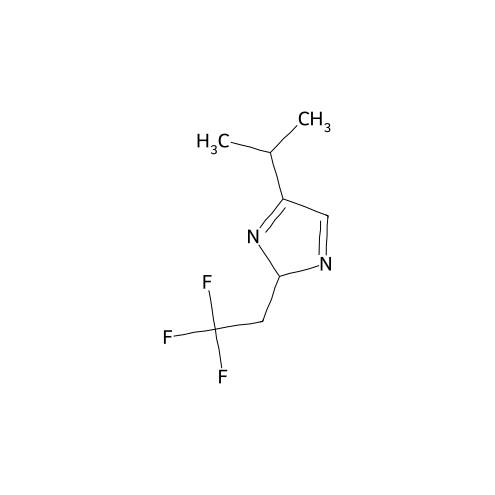 CC(C)C1=NC(CC(F)(F)F)N=C1